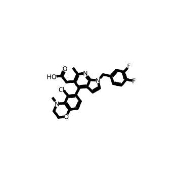 Cc1nc2c(ccn2Cc2ccc(F)c(F)c2)c(-c2ccc3c(c2Cl)N(C)CCO3)c1CC(=O)O